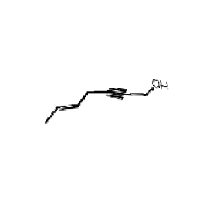 CC=CCC#CCO